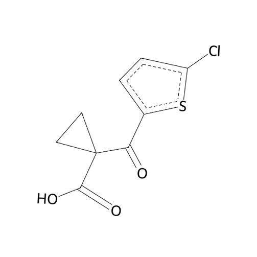 O=C(O)C1(C(=O)c2ccc(Cl)s2)CC1